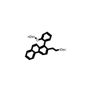 CCCCCCCCCCCCc1ccc2c(ccc3ccccc32)c1-c1ccccc1OCCCCCCCCCC